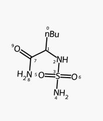 CCCCC(NS(N)(=O)=O)C(N)=O